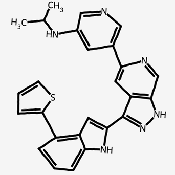 CC(C)Nc1cncc(-c2cc3c(-c4cc5c(-c6cccs6)cccc5[nH]4)n[nH]c3cn2)c1